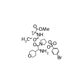 C=C[C@@H]1C[C@]1(NC(=O)[C@@H]1C[C@H](OS(=O)(=O)c2ccc(Br)cc2)CN1C(=O)[C@@H](N)C1CCOCC1)C(=O)OC